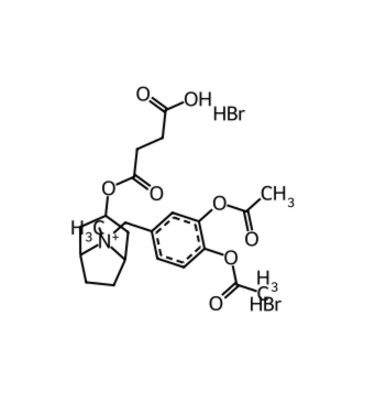 Br.Br.CC(=O)Oc1ccc(C[N+]2(C)C3CCC2CC(OC(=O)CCC(=O)O)C3)cc1OC(C)=O